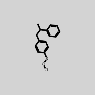 CC(Cc1ccc(SOCl)cc1)c1ccccc1